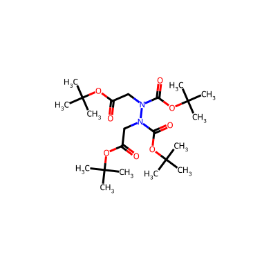 CC(C)(C)OC(=O)CN(C(=O)OC(C)(C)C)N(CC(=O)OC(C)(C)C)C(=O)OC(C)(C)C